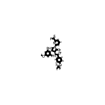 COc1cc(P)c([C@@H]2CN(c3cccc(C(F)F)n3)C(=O)[C@H]2CC(=O)c2ccc(OC(C)(F)F)cc2)c(P)c1